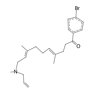 C=CCN(C)CC=C(C)CCC=C(C)CCC(=O)c1ccc(Br)cc1